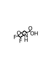 O=C(O)c1cc2oc(F)c(F)c2[nH]1